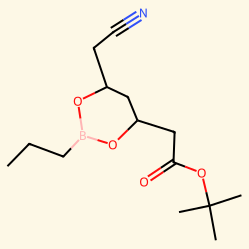 CCCB1OC(CC#N)CC(CC(=O)OC(C)(C)C)O1